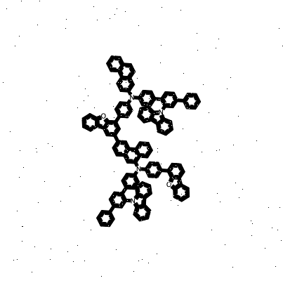 c1ccc(-c2ccc(-c3ccc(N(c4ccc(-c5cc(-c6ccc7cc(N(c8ccc(-c9ccc(-c%10ccccc%10)cc9-n9c%10ccccc%10c%10ccccc%109)cc8)c8ccc(-c9cccc%10c9oc9ccccc9%10)cc8)c8ccccc8c7c6)cc6c5oc5ccccc56)cc4)c4ccc5c(ccc6ccccc65)c4)cc3)c(-n3c4ccccc4c4ccccc43)c2)cc1